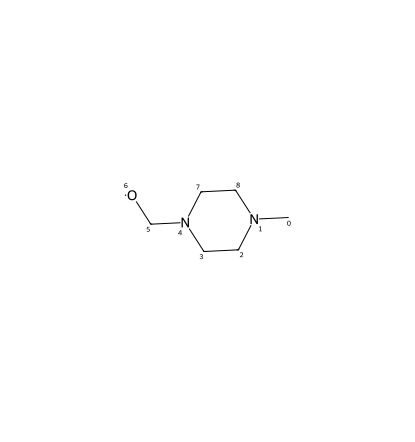 CN1CCN(C[O])CC1